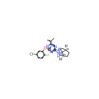 Cc1cc(N2C[C@H]3CC[C@@H](C2)[C@@H]3Nc2nc(Oc3cc(Cl)ccc3F)n(C(C)C)n2)ncn1